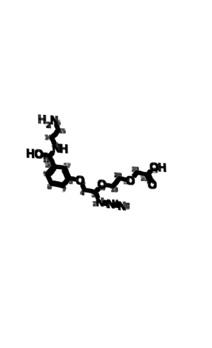 [N-]=[N+]=NC(COc1cccc(C(O)NCCN)c1)OCCOCC(=O)O